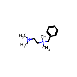 CN(C)CC[N+](C)(C)Cc1ccccc1